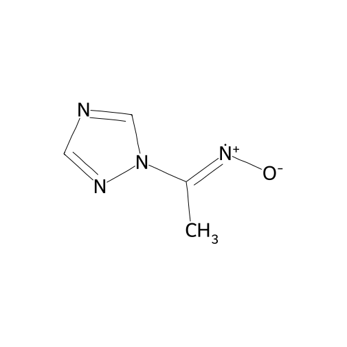 CC(=[N+][O-])n1cncn1